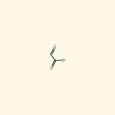 O=CC(=O)Cl